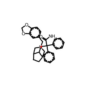 NC(=O)C(CC1C2CCC1CN(Cc1ccc3c(c1)OCO3)C2)(c1ccccc1)c1ccccc1